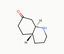 O=C1CC[C@H]2CCCN[C@@H]2C1